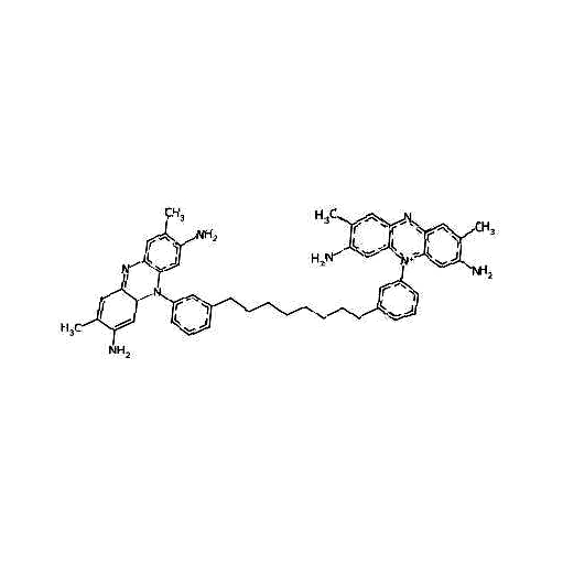 CC1=CC2=Nc3cc(C)c(N)cc3N(c3cccc(CCCCCCCCc4cccc(-[n+]5c6cc(N)c(C)cc6nc6cc(C)c(N)cc65)c4)c3)C2C=C1N